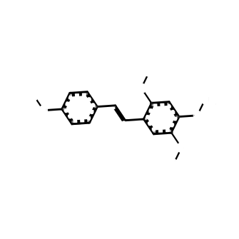 COc1ccc(C=Cc2cc(OC)c(OC)cc2OC)cc1